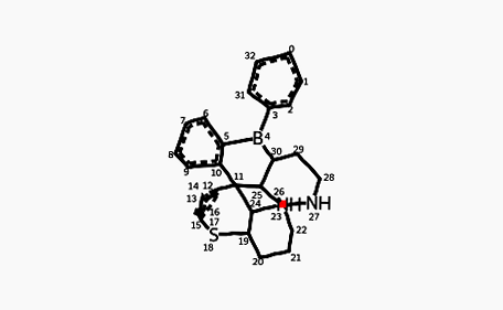 c1ccc(B2c3ccccc3C3(c4ccccc4SC4CCCNC43)C3CNCCC23)cc1